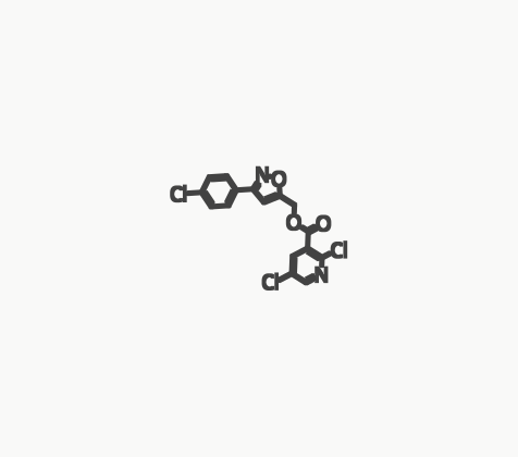 O=C(OCc1cc(-c2ccc(Cl)cc2)no1)c1cc(Cl)cnc1Cl